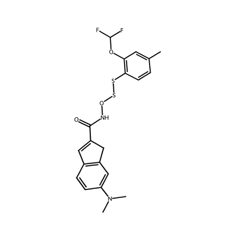 Cc1ccc(SSONC(=O)C2=Cc3ccc(N(C)C)cc3C2)c(OC(F)F)c1